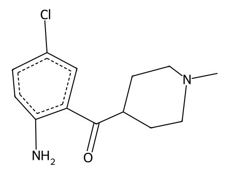 CN1CCC(C(=O)c2cc(Cl)ccc2N)CC1